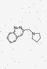 c1ccc2nnc(CN3CCCC3)cc2c1